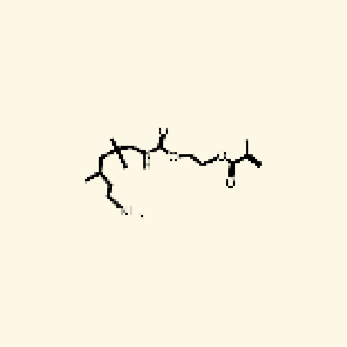 C=C(C)C(=O)OCCOC(=O)NCC(C)(C)CC(C)CCN